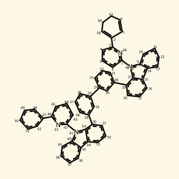 C1=CC(c2cccc(-n3c4ccccc4c4cccc(-c5cccc(-c6cccc(-c7cccc8c9ccccc9n(-c9cccc(-c%10ccccc%10)n9)c78)c6)c5)c43)n2)=CCC1